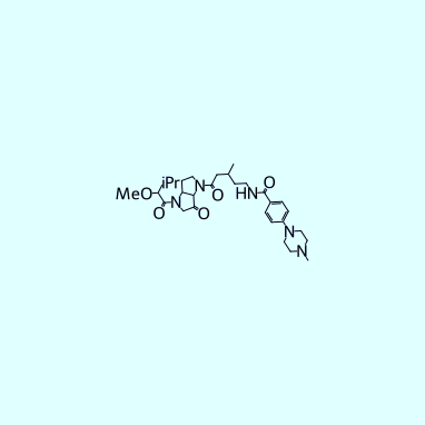 COC(C(=O)N1CC(=O)C2C1CCN2C(=O)CC(C)CCNC(=O)c1ccc(N2CCN(C)CC2)cc1)C(C)C